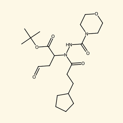 CC(C)(C)OC(=O)C(CC=O)N(NC(=O)N1CCOCC1)C(=O)CCC1CCCC1